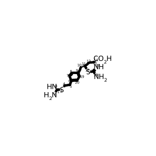 N=C(N)SCCc1ccc(C[C@@H](CCC(=O)O)SC(=N)N)cc1